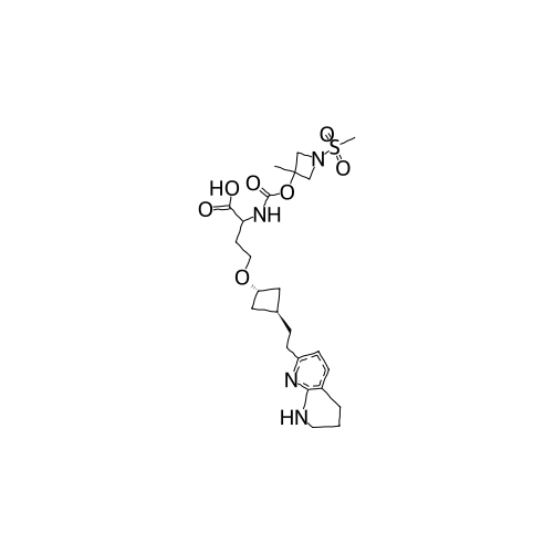 CC1(OC(=O)NC(CCO[C@H]2C[C@H](CCc3ccc4c(n3)NCCC4)C2)C(=O)O)CN(S(C)(=O)=O)C1